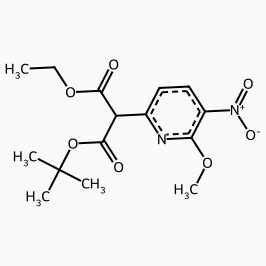 CCOC(=O)C(C(=O)OC(C)(C)C)c1ccc([N+](=O)[O-])c(OC)n1